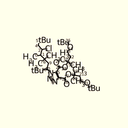 CC(C(Cl)CC(C)(C)C)C(C)(C)CC(n1nnc(C(=O)OC(C)(C)CCOC(C)(C)C)c1C(=O)OC(C)(C)CCOC(C)(C)C)C(C)(C)C